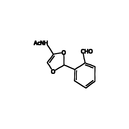 CC(=O)NC1=COC(c2ccccc2C=O)O1